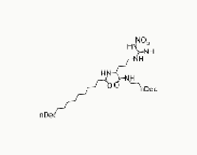 CCCCCCCCCCCCCCCCCCCC(=O)NC(CCCNC(=N)N[N+](=O)[O-])C(=O)NCCCCCCCCCCCC